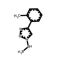 BBn1cc(-c2ccccc2C)nn1